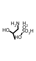 CC(O)CN.O.O=S(=O)(O)O